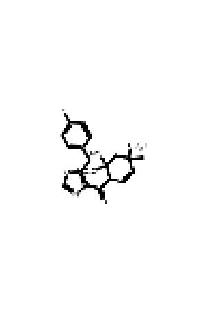 CC1(C(=O)O)C=CC(C(=O)c2ncoc2Cc2ccc(F)cc2)C(O)(C(=O)O)C1